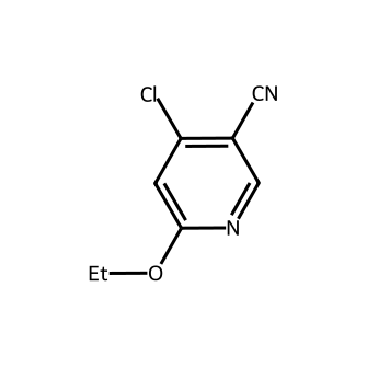 CCOc1cc(Cl)c(C#N)cn1